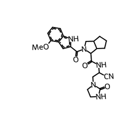 COc1cccc2[nH]c(C(=O)N3CC4CCCC4C3C(=O)NC(C#N)CN3CCNC3=O)cc12